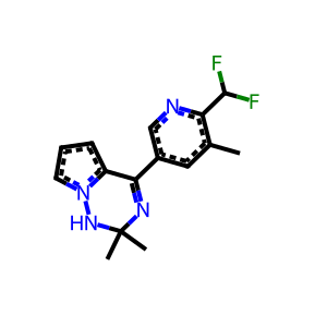 Cc1cc(C2=NC(C)(C)Nn3cccc32)cnc1C(F)F